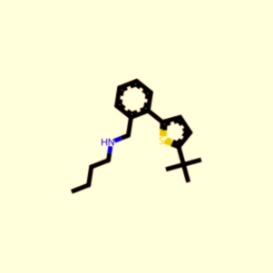 CCCCNCc1ccccc1-c1ccc(C(C)(C)C)s1